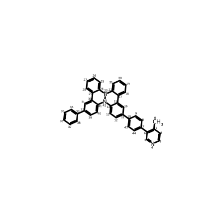 Cc1ccncc1-c1ccc(-c2ccc3c(c2)-c2ccccc2B2c4ccccc4-c4cc(-c5ccccc5)ccc4N23)cc1